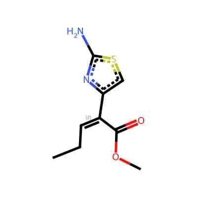 CC/C=C(\C(=O)OC)c1csc(N)n1